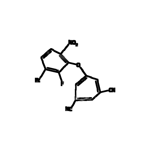 CCc1ccc([N+](=O)[O-])c(Oc2cc(C#N)cc(C#N)c2)c1F